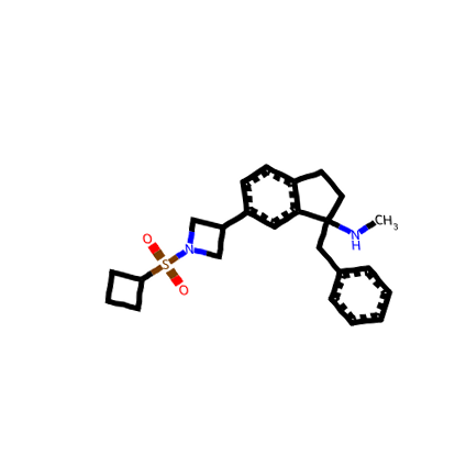 CNC1(Cc2ccccc2)CCc2ccc(C3CN(S(=O)(=O)C4CCC4)C3)cc21